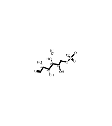 O=C[C@H](O)[C@@H](O)[C@H](O)[C@H](O)COP(=O)([O-])[O-].[K+].[K+]